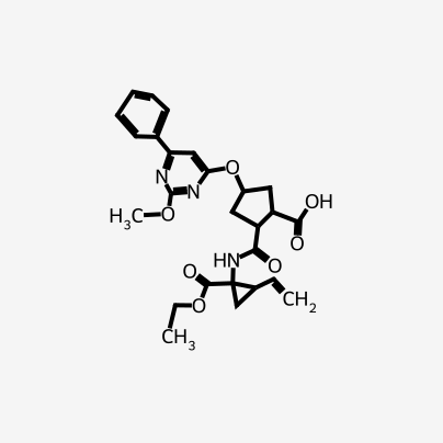 C=CC1CC1(NC(=O)C1CC(Oc2cc(-c3ccccc3)nc(OC)n2)CC1C(=O)O)C(=O)OCC